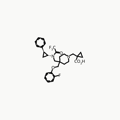 O=C(N(CC1(COc2ccccc2F)CCN(CC2(C(=O)O)CC2)CC1)[C@@H]1C[C@H]1c1ccccc1)C(F)(F)F